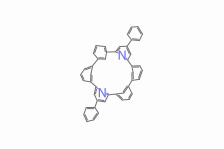 c1ccc(-c2cc3nc(c2)c2cccc(c2)c2cccc(c2)c2cc(-c4ccccc4)cc(n2)c2cccc(c2)c2cccc3c2)cc1